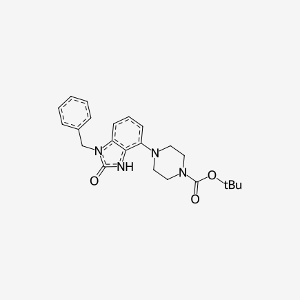 CC(C)(C)OC(=O)N1CCN(c2cccc3c2[nH]c(=O)n3Cc2ccccc2)CC1